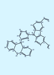 C=Cc1ccc2c(c1)c1cc(C=C)ccc1n2-c1cncc(N2c3ccccc3Sc3ccccc32)n1